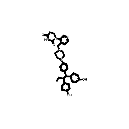 CCC(=C(c1ccc(O)cc1)c1ccc(N2CCN(Cc3ccncc3N3CCC(=O)NC3=O)CC2)cc1)c1ccc(O)cc1